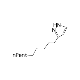 CCCCCCCCCCc1cc[nH]n1